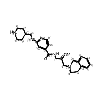 O=C(NCC(O)CN1CCc2ccccc2C1)c1ccnc(NCC2CCNCC2)c1